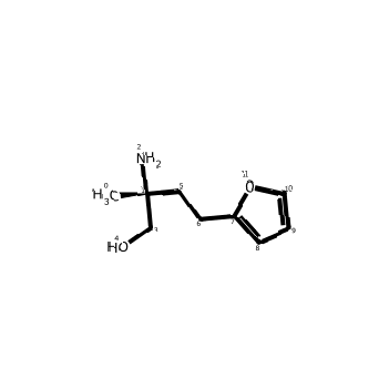 C[C@](N)(CO)CCc1ccco1